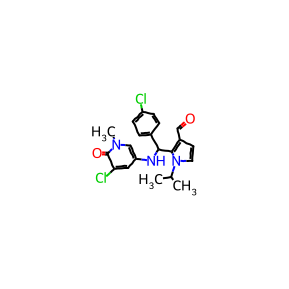 CC(C)n1ccc(C=O)c1C(Nc1cc(Cl)c(=O)n(C)c1)c1ccc(Cl)cc1